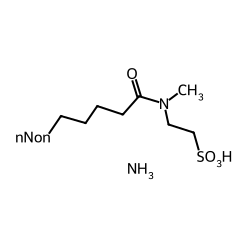 CCCCCCCCCCCCCC(=O)N(C)CCS(=O)(=O)O.N